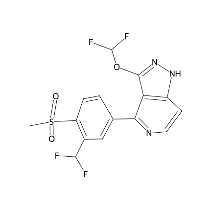 CS(=O)(=O)c1ccc(-c2nccc3[nH]nc(OC(F)F)c23)cc1C(F)F